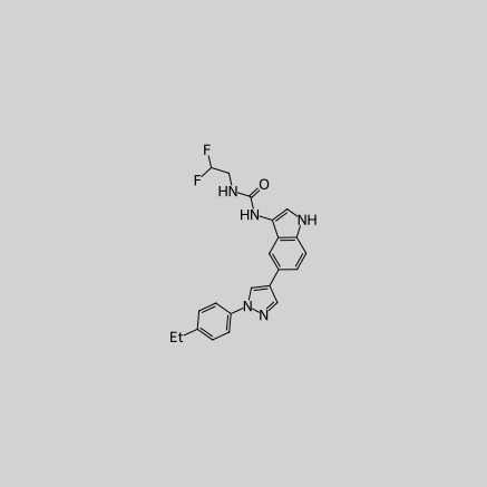 CCc1ccc(-n2cc(-c3ccc4[nH]cc(NC(=O)NCC(F)F)c4c3)cn2)cc1